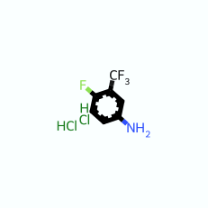 Cl.Cl.Nc1ccc(F)c(C(F)(F)F)c1